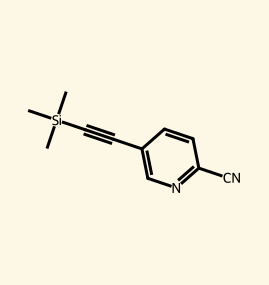 C[Si](C)(C)C#Cc1ccc(C#N)nc1